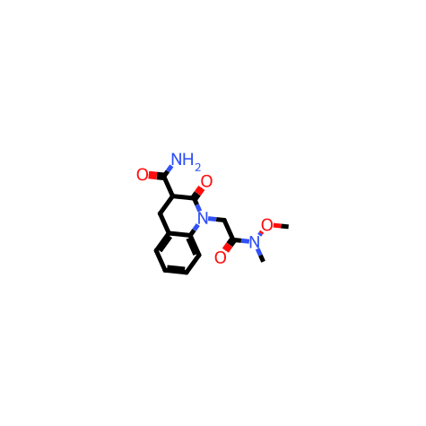 CON(C)C(=O)CN1C(=O)C(C(N)=O)Cc2ccccc21